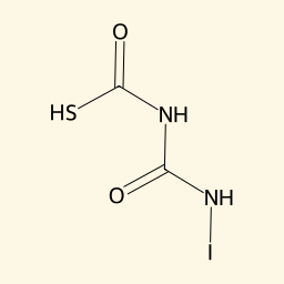 O=C(S)NC(=O)NI